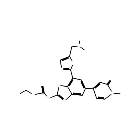 CCOC(=O)Nc1nc2cc(-c3ccn(C)c(=O)c3)cc(-c3ncc(CN(C)C)o3)c2[nH]1